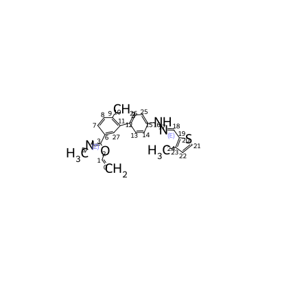 C=CO/C(=N\C)c1ccc(C)c(-c2ccc(N/N=C/c3sccc3C)cc2)c1